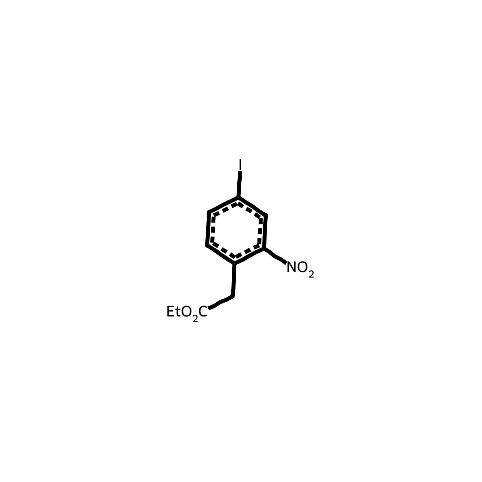 CCOC(=O)Cc1ccc(I)cc1[N+](=O)[O-]